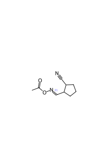 CC(=O)O/N=C/C1CCCC1C#N